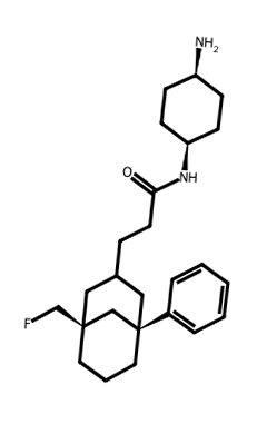 N[C@H]1CC[C@@H](NC(=O)CCC2C[C@@]3(CF)CCC[C@@](c4ccccc4)(C2)C3)CC1